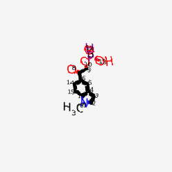 Cn1ccc2cc(C(=O)CO[PH](=O)O)ccc21